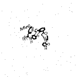 CCCC(Nc1ccc2c(c1)Sc1cccc(C3CN(c4ccc[nH]c4=O)CCO3)c1S2)c1cncc(OC)c1